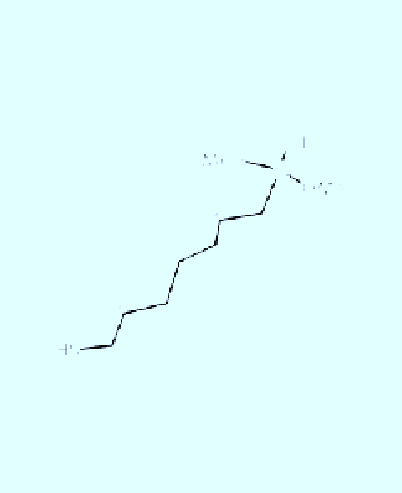 CO[Si](C)(CCCCCCCS)OC